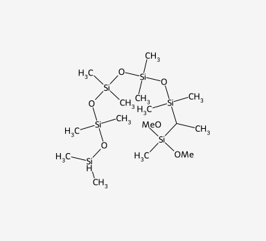 CO[Si](C)(OC)C(C)[Si](C)(C)O[Si](C)(C)O[Si](C)(C)O[Si](C)(C)O[SiH](C)C